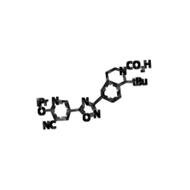 CC(C)Oc1ncc(-c2nc(-c3ccc4c(c3)CCN(C(=O)O)C4C(C)(C)C)no2)cc1C#N